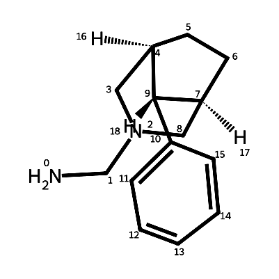 NCN1C[C@H]2CC[C@@H](C1)[C@@H]2c1ccccc1